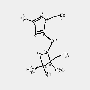 CCn1nc(C(F)(F)F)cc1OP1OC(C)(C)C1(C)C